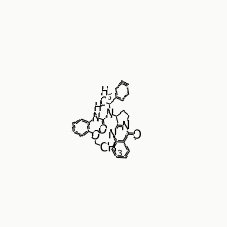 CCOc1ccccc1NC(=O)N(C(C)c1ccccc1)C1CCn2c1nc1ccccc1c2=O